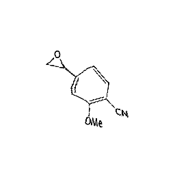 COc1cc(C2CO2)ccc1C#N